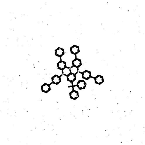 CC(c1ccccc1)(c1ccccc1)c1cc2c3c(c1)N(c1ccc(-c4ccccc4)cc1)c1ccc(-c4ccccc4)cc1B3c1cc(-c3ccccc3)ccc1N2c1ccc(-c2ccccc2)cc1